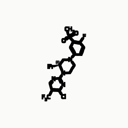 CC(C)[C@@H]1CN(c2ccc(F)c(S(C)(=O)=O)c2)CCN1c1ncc(C(F)(F)F)c(Cl)n1